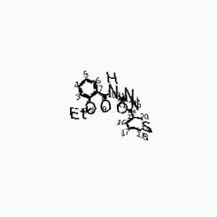 CCOc1ccccc1C(=O)Nc1nnc(C2=CC=CSC2)o1